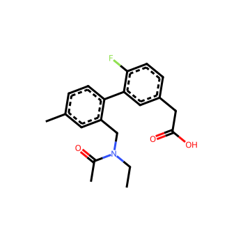 CCN(Cc1cc(C)ccc1-c1cc(CC(=O)O)ccc1F)C(C)=O